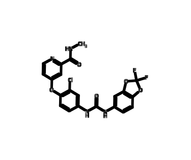 CNC(=O)c1cc(Oc2ccc(NC(=O)Nc3ccc4c(c3)OC(F)(F)O4)cc2Cl)ccn1